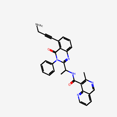 CC(=O)NCC#Cc1cccc2nc(C(C)NC(=O)c3c(C)ncc4cccnc34)n(-c3ccccc3)c(=O)c12